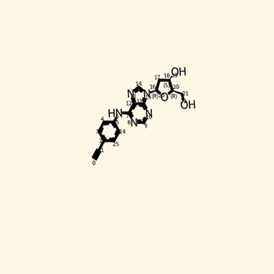 C#Cc1ccc(Nc2ncnc3c2ncn3[C@H]2C[C@H](O)[C@@H](CO)O2)cc1